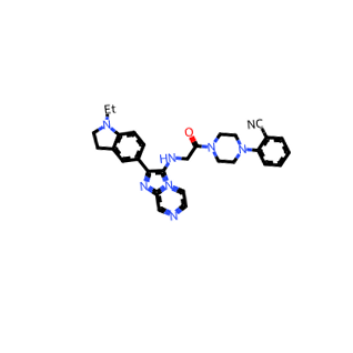 CCN1CCc2cc(-c3nc4cnccn4c3NCC(=O)N3CCN(c4ccccc4C#N)CC3)ccc21